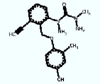 C#Cc1cccc(N(N)C(=O)N(C)N)c1COc1ccc(O)cc1C